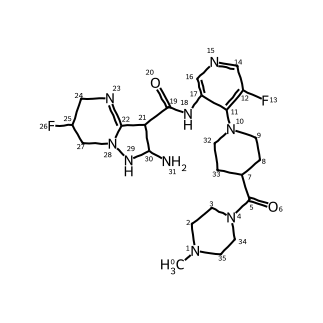 CN1CCN(C(=O)C2CCN(c3c(F)cncc3NC(=O)C3C4=NCC(F)CN4NC3N)CC2)CC1